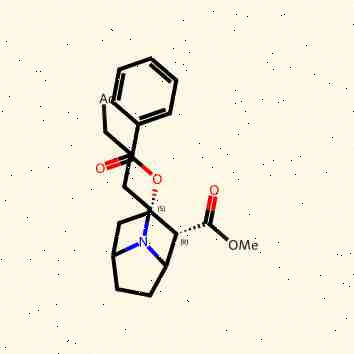 COC(=O)[C@@H]1C2CCC(C[C@@H]1OC(=O)c1ccccc1)N2CCCCC(C)=O